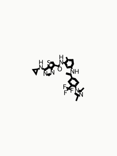 C=C(Nc1ccc(C)c(NC(=O)c2csc3c(NC4CC4)ncnc23)c1)c1ccc(-n2cc(C)nc2C)c(C(F)(F)F)c1